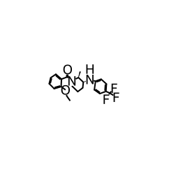 CCOc1ccccc1C(=O)N1CCC[C@@H](Nc2ccc(C(F)(F)F)cc2)[C@@H]1C